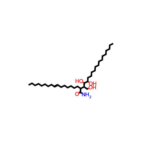 CCCCCCCCC=CCCCCCCC(C(N)=O)C(CO)C(O)C(O)CCCCCCCCCCCCCC